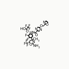 C[C@@]1(c2cc(NC(=O)c3cnc(OCc4ncco4)cn3)cc(F)c2F)C[C@@H](C(F)(F)F)OC(N)=N1.O=C(O)C(F)(F)F